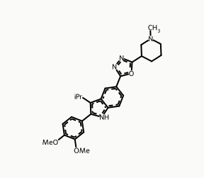 COc1ccc(-c2[nH]c3ccc(-c4nnc(C5CCCN(C)C5)o4)cc3c2C(C)C)cc1OC